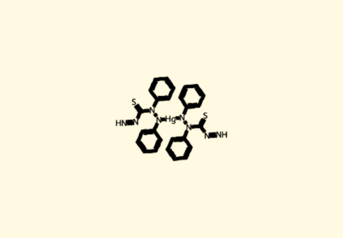 N=NC(=S)N(c1ccccc1)[N]([Hg][N](c1ccccc1)N(C(=S)N=N)c1ccccc1)c1ccccc1